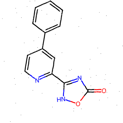 O=c1nc(-c2cc(-c3ccccc3)ccn2)[nH]o1